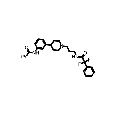 CC(C)C(=O)Nc1cccc(C2CCN(CCCNC(=O)C(F)(F)c3ccccc3)CC2)c1